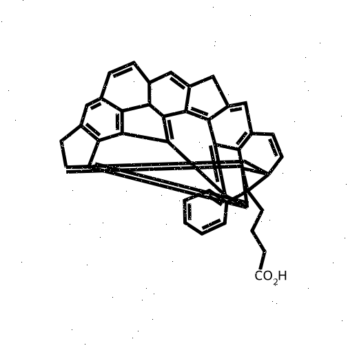 O=C(O)CCCC1(c2ccccc2)C23C=Cc4cc5c6c7c8c9c%10c%11c(cc%12c%10c(c%10c9c6c4C%1021)C(=C3)C%12)C=CC(C=C7C5)C%118